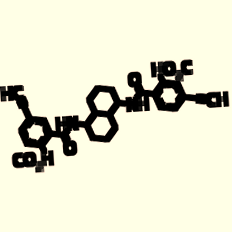 C#Cc1ccc(C(=O)NC2CCCC3C(NC(=O)c4cc(C#C)ccc4C(=O)O)CCCC23)c(C(=O)O)c1